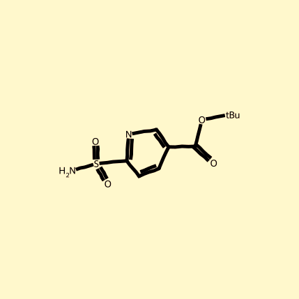 CC(C)(C)OC(=O)c1ccc(S(N)(=O)=O)nc1